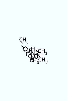 CCCCc1ccc(C(F)(F)C(=O)Nc2c(SC)cc(C)nc2SC)cc1